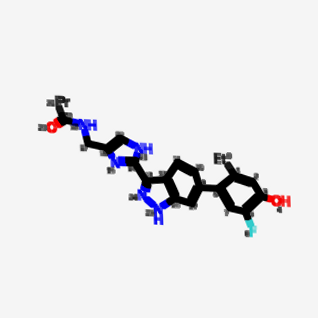 CCc1cc(O)c(F)cc1-c1ccc2c(-c3nc(CNC(=O)C(C)C)c[nH]3)n[nH]c2c1